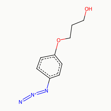 [N-]=[N+]=Nc1ccc(OCCCO)cc1